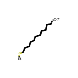 [CH2]CCCCCCCCCCCCCCCCCCSCC